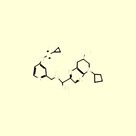 C[C@@H]1Cc2nc(C(O)NCc3cc(NS(=O)(=O)C4CC4)ccn3)cnc2N(C2CCC2)C1